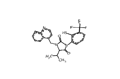 CC(C)C1C(=O)N(c2cccc(C(F)(F)F)c2S)C(=O)N1Cc1ccnc2ccccc12